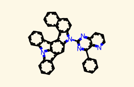 c1ccc(-c2nc(-n3c4ccc5ccccc5c4c4c5c6ccccc6n6c7ccccc7c(cc43)c56)nc3cccnc23)cc1